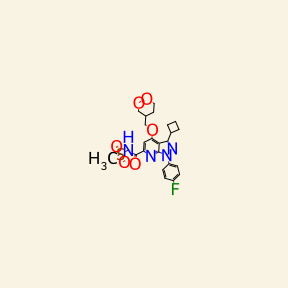 CS(=O)(=O)NC(=O)c1cc(OCC2CCOOC2)c2c(C3CCC3)nn(-c3ccc(F)cc3)c2n1